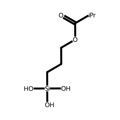 CC(C)C(=O)OCCC[Si](O)(O)O